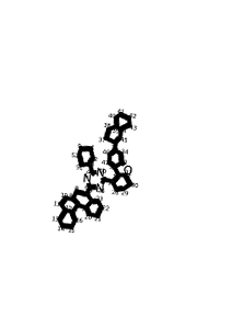 c1ccc(-c2nc(-c3cc4ccc5ccccc5c4c4ccccc34)nc(-c3cccc4oc5cc(-c6ccc7ccccc7c6)ccc5c34)n2)cc1